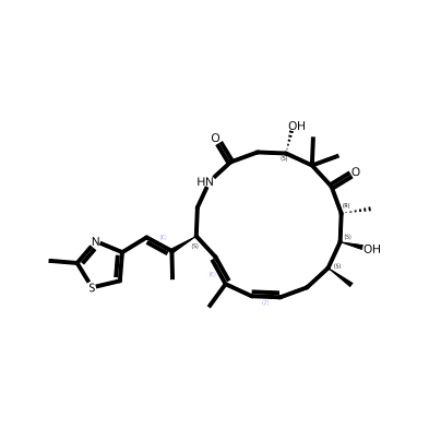 CC1=C\[C@@H](/C(C)=C/c2csc(C)n2)CNC(=O)C[C@H](O)C(C)(C)C(=O)[C@H](C)[C@@H](O)[C@@H](C)C/C=C\1